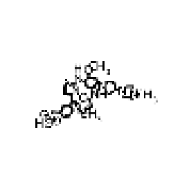 C=CC(=O)Nc1cc(Nc2nccc(-c3cn(C)c4ccc(CS(=O)(=O)O)cc34)n2)c(OC)cc1N1CCC(N2CCN(C)CC2)CC1